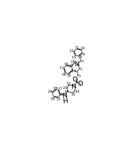 O=C(OCCCN(Cc1ccccc1)Cc1ccccc1)N1CCC(Nc2ccccc2)CC1